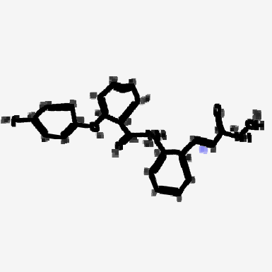 O=C(/C=C/c1ccccc1NC(=O)c1ccccc1Oc1ccc(F)cc1)NO